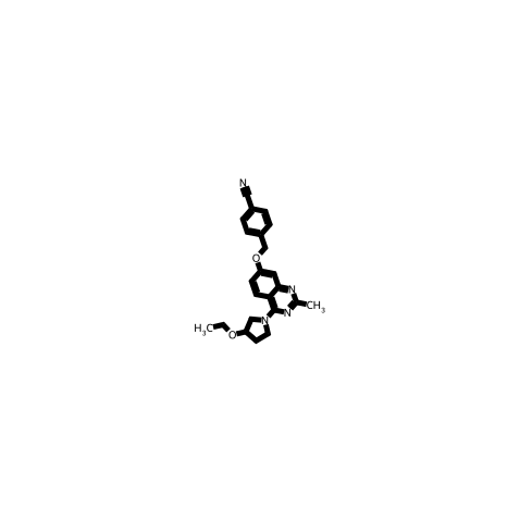 CCOC1CCN(c2nc(C)nc3cc(OCc4ccc(C#N)cc4)ccc23)C1